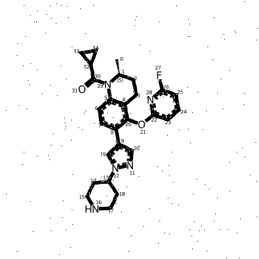 C[C@H]1CCc2c(ccc(-c3cnn(C4CCNCC4)c3)c2Oc2cccc(F)n2)N1C(=O)C1CC1